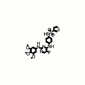 COc1cc(Nc2ncc(F)c(Nc3ccc(NS(=O)(=O)c4ccsc4)cc3)n2)cc(OC)c1OC